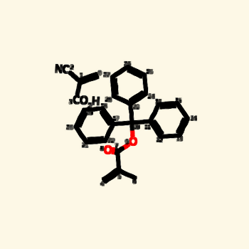 C=C(C#N)C(=O)O.C=C(C)C(=O)OC(c1ccccc1)(c1ccccc1)c1ccccc1